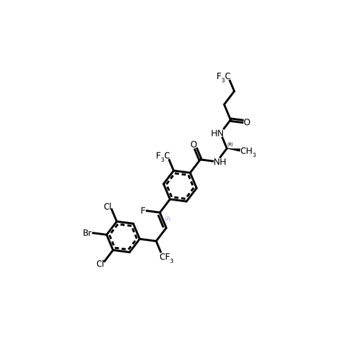 C[C@H](NC(=O)CCC(F)(F)F)NC(=O)c1ccc(/C(F)=C/C(c2cc(Cl)c(Br)c(Cl)c2)C(F)(F)F)cc1C(F)(F)F